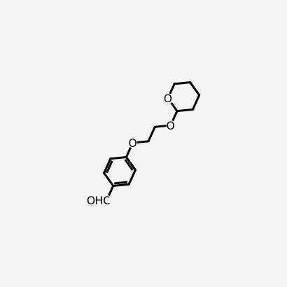 O=Cc1ccc(OCCOC2CCCCO2)cc1